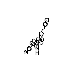 CN(C)c1ccc(C(=O)C2CNCC3C(=O)N(OC(=O)N4CCC(CCc5ccc(Cl)cc5)CC4)C(=O)N23)cc1